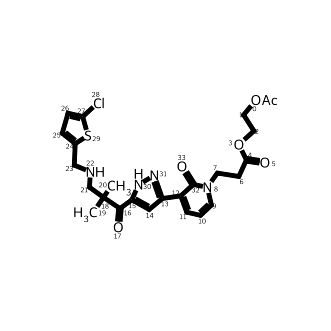 CC(=O)OCCOC(=O)CCn1cccc(-c2cc(C(=O)C(C)(C)CNCc3ccc(Cl)s3)[nH]n2)c1=O